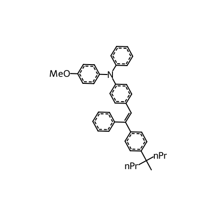 CCCC(C)(CCC)c1ccc(/C(=C/c2ccc(N(c3ccccc3)c3ccc(OC)cc3)cc2)c2ccccc2)cc1